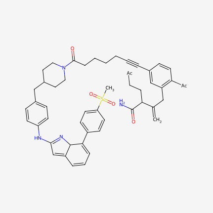 C=C(Cc1cc(C#CCCCCC(=O)N2CCC(Cc3ccc(NC4=NC5C(=C4)C=CC=C5c4ccc(S(C)(=O)=O)cc4)cc3)CC2)ccc1C(C)=O)C(CCC(C)=O)C(N)=O